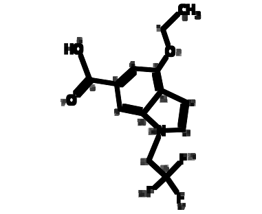 CCOc1cc(C(=O)O)cc2c1ccn2CC(F)(F)F